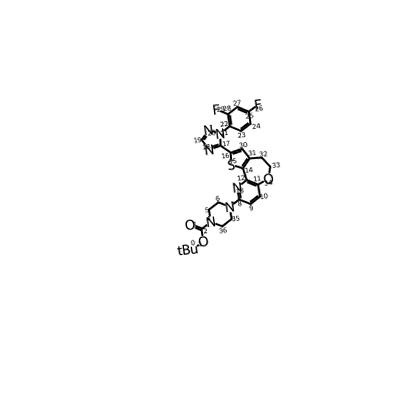 CC(C)(C)OC(=O)N1CCN(c2ccc3c(n2)-c2sc(-c4ncnn4-c4ccc(F)cc4F)cc2CCO3)CC1